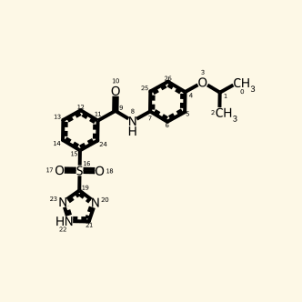 CC(C)Oc1ccc(NC(=O)c2cccc(S(=O)(=O)c3nc[nH]n3)c2)cc1